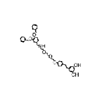 Oc1cc(O)cc(C=Cc2ccc(OCCOCCOCCNCc3ccc(OCc4ccccc4)c(OCc4ccccc4)c3)cc2)c1